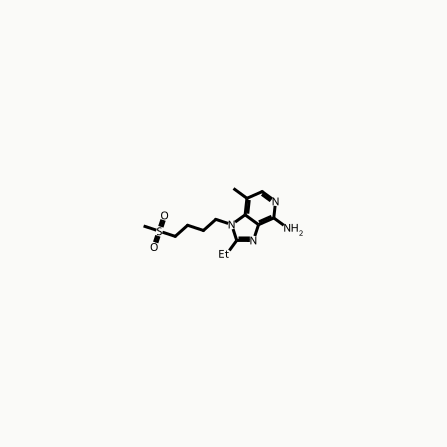 CCc1nc2c(N)ncc(C)c2n1CCCCS(C)(=O)=O